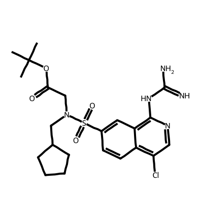 CC(C)(C)OC(=O)CN(CC1CCCC1)S(=O)(=O)c1ccc2c(Cl)cnc(NC(=N)N)c2c1